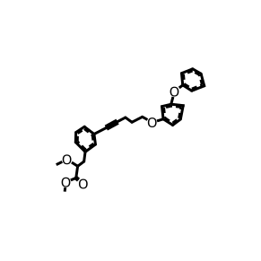 COC(=O)C(Cc1cccc(C#CCCCOc2cccc(Oc3ccccc3)c2)c1)OC